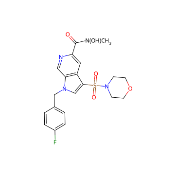 CN(O)C(=O)c1cc2c(S(=O)(=O)N3CCOCC3)cn(Cc3ccc(F)cc3)c2cn1